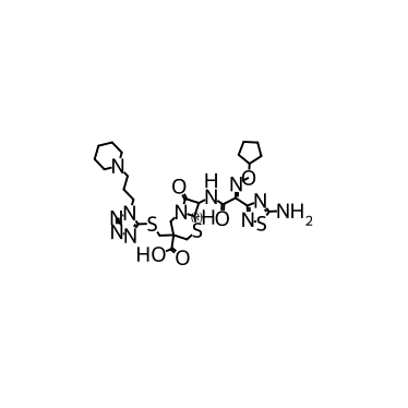 Nc1nc(C(=NOC2CCCC2)C(=O)NC2C(=O)N3CC(CSc4nnnn4CCCN4CCCCC4)(C(=O)O)CS[C@H]23)ns1